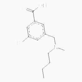 CCCCN(C)Cc1cc(Br)cc(C(=O)O)c1